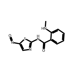 CNc1ccccc1C(=O)Nc1ncc(N=O)s1